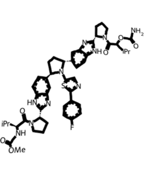 COC(=O)N[C@H](C(=O)N1CCC[C@H]1c1nc2cc([C@H]3CC[C@H](c4ccc5[nH]c([C@@H]6CCCN6C(=O)C(OC(N)=O)C(C)C)nc5c4)N3c3cnc(-c4ccc(F)cc4)s3)ccc2[nH]1)C(C)C